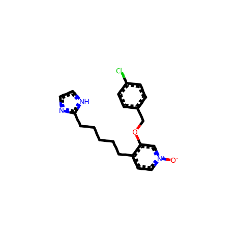 [O-][n+]1ccc(CCCCCc2ncc[nH]2)c(OCc2ccc(Cl)cc2)c1